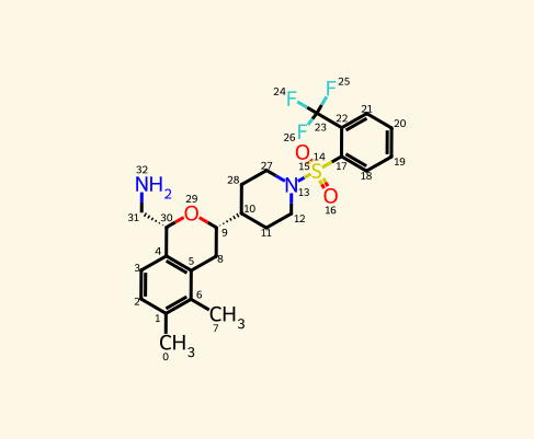 Cc1ccc2c(c1C)C[C@@H](C1CCN(S(=O)(=O)c3ccccc3C(F)(F)F)CC1)O[C@H]2CN